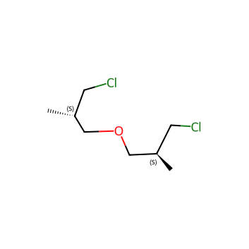 C[C@H](CCl)COC[C@H](C)CCl